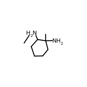 CC.CC1(N)CCCCC1N